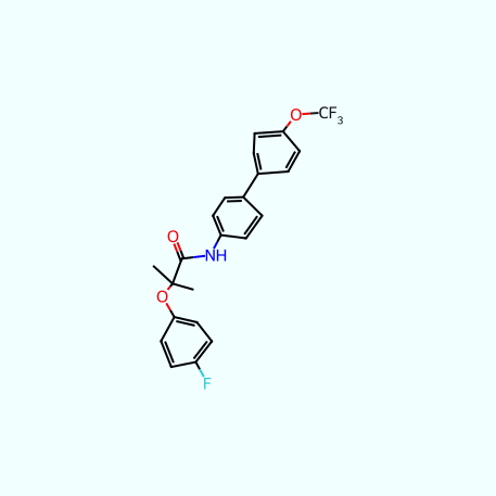 CC(C)(Oc1ccc(F)cc1)C(=O)Nc1ccc(-c2ccc(OC(F)(F)F)cc2)cc1